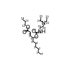 CCCCCCC(CCC(=O)OCCC)OC(=O)NCCN(CC)CC